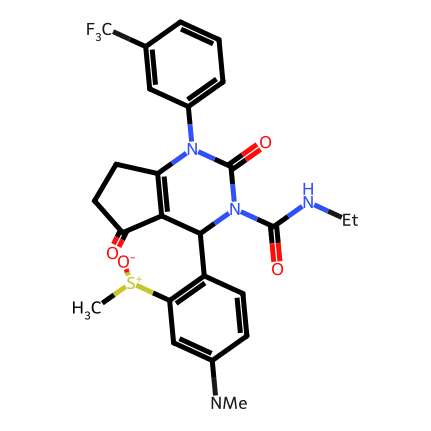 CCNC(=O)N1C(=O)N(c2cccc(C(F)(F)F)c2)C2=C(C(=O)CC2)C1c1ccc(NC)cc1[S+](C)[O-]